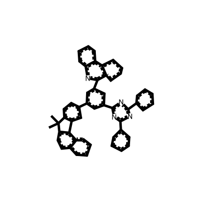 CC1(C)c2ccc(-c3cc(-c4nc(-c5ccccc5)nc(-c5ccccc5)n4)cc(-c4nc5ccccc5c5ccccc45)c3)cc2-c2c1ccc1ccccc21